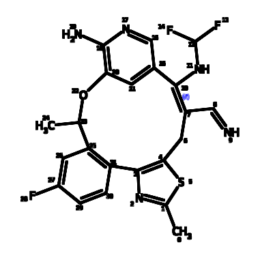 Cc1nc2c(s1)C/C(C=N)=C(/NC(F)F)c1cnc(N)c(c1)OC(C)c1cc(F)ccc1-2